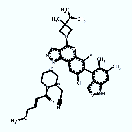 COC/C=C/C(=O)N1CC[C@H](n2ncc3c(N4CC(C)(N(C)C)C4)nc4c(F)c(-c5c(C)c(C)cc6[nH]ncc56)c(Cl)cc4c32)C[C@H]1CC#N